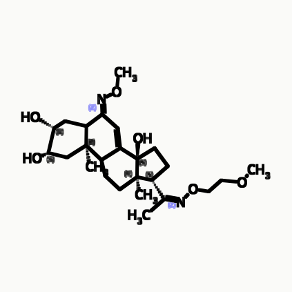 COCCO/N=C(/C)[C@H]1CC[C@@]2(O)C3=C/C(=N\OC)C4C[C@@H](O)[C@@H](O)C[C@]4(C)C3CC[C@]12C